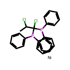 CC(Cl)C(Cl)(P(c1ccccc1)c1ccccc1)P(c1ccccc1)c1ccccc1.[Ni]